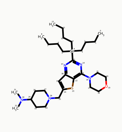 CCC[CH2][Sn]([CH2]CCC)([CH2]CCC)[c]1nc(N2CCOCC2)c2sc(CN3CCC(N(C)C)CC3)cc2n1